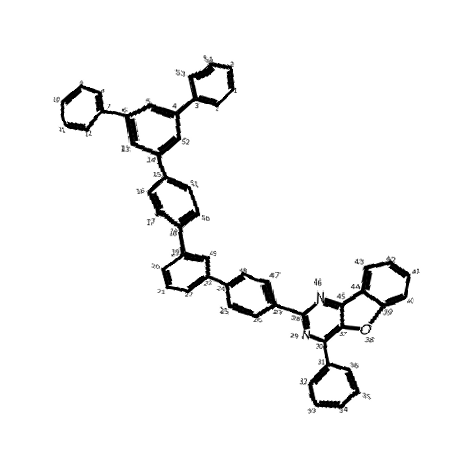 c1ccc(-c2cc(-c3ccccc3)cc(-c3ccc(-c4cccc(-c5ccc(-c6nc(-c7ccccc7)c7oc8ccccc8c7n6)cc5)c4)cc3)c2)cc1